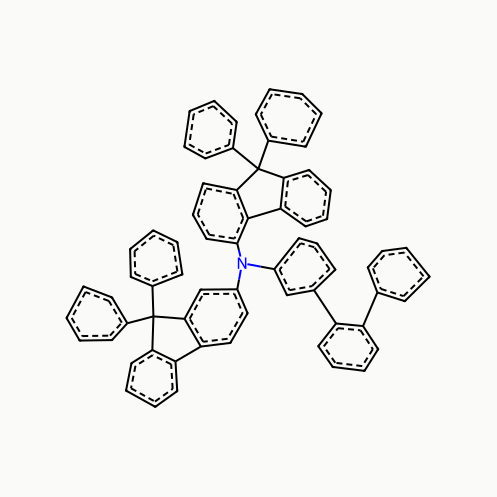 c1ccc(-c2ccccc2-c2cccc(N(c3ccc4c(c3)C(c3ccccc3)(c3ccccc3)c3ccccc3-4)c3cccc4c3-c3ccccc3C4(c3ccccc3)c3ccccc3)c2)cc1